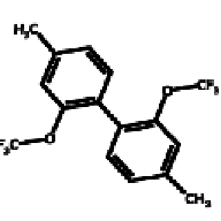 Cc1ccc(-c2ccc(C)cc2OC(F)(F)F)c(OC(F)(F)F)c1